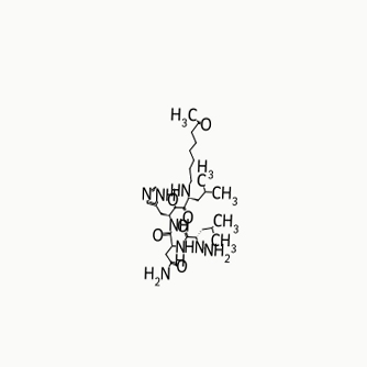 CC(=O)CCCCCCN[C@@H](CC(C)C)C(=O)C(=O)[C@H](Cc1cnc[nH]1)NC(=O)C(CC(N)=O)NC(=O)[C@H](CC(C)C)NN